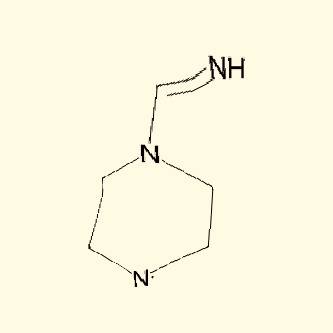 N=CN1CC[N]CC1